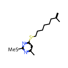 C=C(C)CCCCCCSc1cc(C)nc(SC)n1